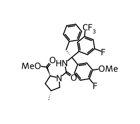 COC(=O)[C@@H]1C[C@@H](C)CN1C(=O)N[C@@](Cc1ccccc1)(c1cc(F)cc(C(F)(F)F)c1)c1ccc(F)c(OC)c1